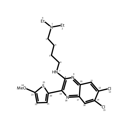 CCN(CC)CCCCNc1nc2cc(Cl)c(Cl)cc2nc1-c1ccc(OC)s1